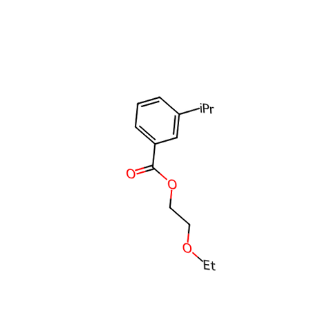 CCOCCOC(=O)c1cccc(C(C)C)c1